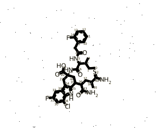 CCC(C)C(NC(=O)Cc1ccccc1F)C(=O)N[C@@]1(C(=O)O)Cc2c([nH]c3c(Cl)cc(F)cc23)C(C(CC(C)C(N)=S)C(N)=O)C1